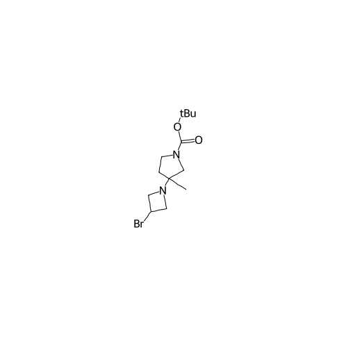 CC(C)(C)OC(=O)N1CCC(C)(N2CC(Br)C2)C1